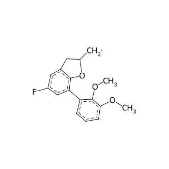 [CH2]C1Cc2cc(F)cc(-c3cccc(OC)c3OC)c2O1